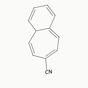 N#CC1=CC=C2C=CC=CC2C=C1